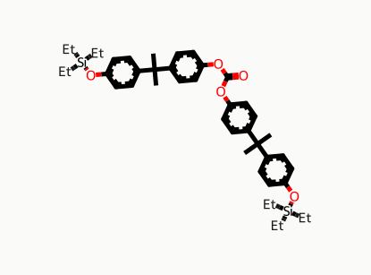 CC[Si](CC)(CC)Oc1ccc(C(C)(C)c2ccc(OC(=O)Oc3ccc(C(C)(C)c4ccc(O[Si](CC)(CC)CC)cc4)cc3)cc2)cc1